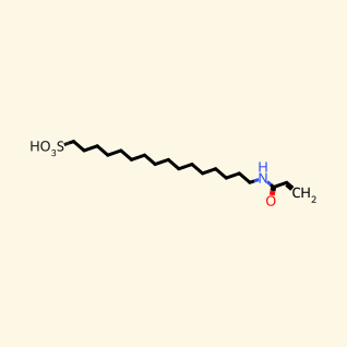 C=CC(=O)NCCCCCCCCCCCCCCCCS(=O)(=O)O